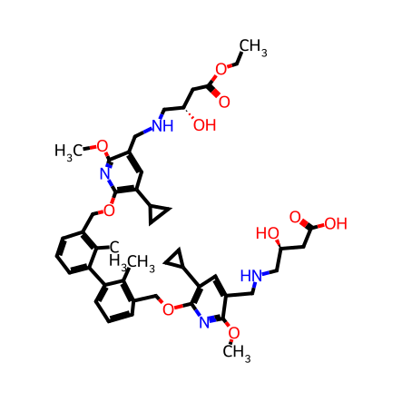 CCOC(=O)C[C@H](O)CNCc1cc(C2CC2)c(OCc2cccc(-c3cccc(COc4nc(OC)c(CNC[C@@H](O)CC(=O)O)cc4C4CC4)c3C)c2C)nc1OC